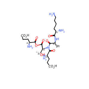 CC(C)[C@H](NC(=O)[C@@H](N)CCCCN)C(=O)N(C(=O)[C@@H](N)CCC(=O)O)[C@H](C(=O)OC(=O)[C@@H](N)CCC(=O)O)[C@@H](C)O